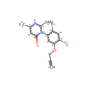 C#CCOc1cc(-n2c(OC)nc(C(F)(F)F)cc2=O)c(F)cc1Cl